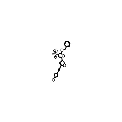 C[C@@](CCc1cc(C#CC2CC(=O)C2)on1)(C(=O)OCc1ccccc1)S(C)(=O)=O